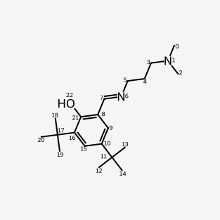 CN(C)CCC/N=C/c1cc(C(C)(C)C)cc(C(C)(C)C)c1O